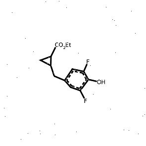 CCOC(=O)C1CC1Cc1cc(F)c(O)c(F)c1